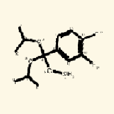 CC(C)OC(O[SiH3])(OC(C)C)c1ccc(F)c(F)c1